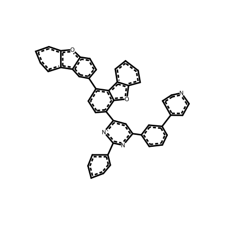 c1ccc(-c2nc(-c3cccc(-c4ccncc4)c3)cc(-c3ccc(-c4ccc5oc6ccccc6c5c4)c4c3oc3ccccc34)n2)cc1